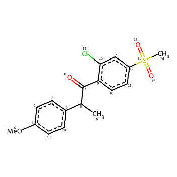 COc1ccc(C(C)C(=O)c2ccc(S(C)(=O)=O)cc2Cl)cc1